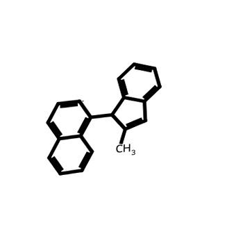 CC1=Cc2ccccc2C1c1[c]ccc2ccccc12